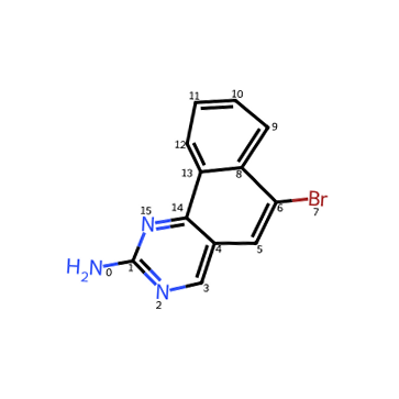 Nc1ncc2cc(Br)c3ccccc3c2n1